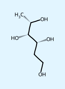 C[C@H](O)[C@@H](O)[C@H](O)CCO